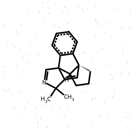 CC1(C)N=CC23C1=C[C@]1(CCC[C@H]21)c1ccccc13